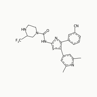 Cc1cc(-c2sc(NC(=O)N3CCNC(C(F)(F)F)C3)nc2-c2cccc(C#N)c2)cc(C)n1